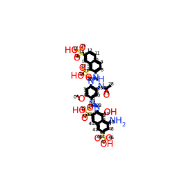 COc1cc(N=Nc2ccc3ccc(S(=O)(=O)O)cc3c2S(=O)(=O)O)c(NC(C)=O)cc1N=Nc1c(S(=O)(=O)O)cc2cc(S(=O)(=O)O)cc(N)c2c1O